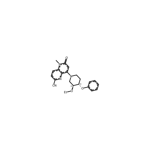 CCO[C@H]1CN(c2cc(=O)n(C)c3ccc(C#N)nc23)CC[C@@H]1Oc1ccccc1